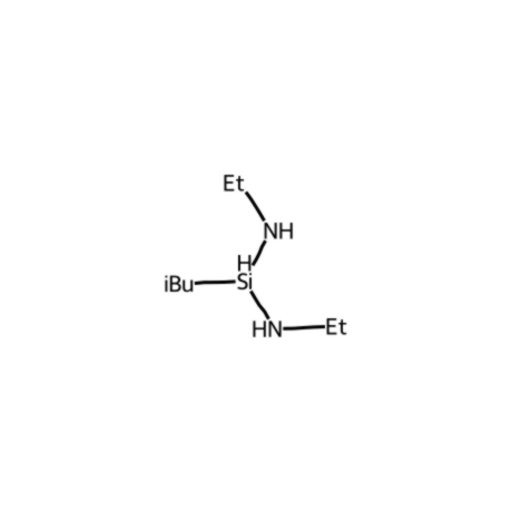 CCN[SiH](NCC)C(C)CC